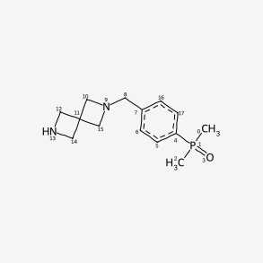 CP(C)(=O)c1ccc(CN2CC3(CNC3)C2)cc1